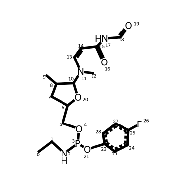 CCNP(OCC1CC(C)C(N(C)/C=C\C(=O)NC=O)O1)Oc1ccc(F)cc1